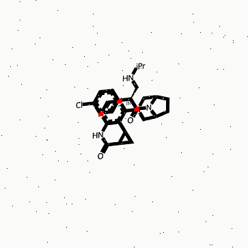 CC(C)NC[C@@H](C(=O)N1C2CCC1CN(c1ncnc3c1C1CC1C(=O)N3)C2)c1ccc(Cl)cc1